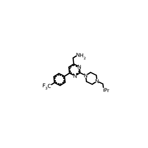 CC(C)CN1CCN(c2nc(CN)cc(-c3ccc(C(F)(F)F)cc3)n2)CC1